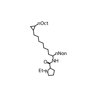 CCCCCCCCCC(CCCCCCCC1CC1CCCCCCCC)NC(=O)C1CCCN1CC